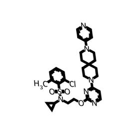 Cc1cccc(Cl)c1S(=O)(=O)N(CCOc1nccc(N2CCC3(CCN(c4ccncc4)CC3)CC2)n1)C1CC1